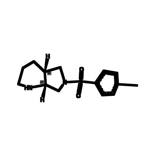 Cc1ccc(S(=O)(=O)N2C[C@H]3CCCN[C@H]3C2)cc1